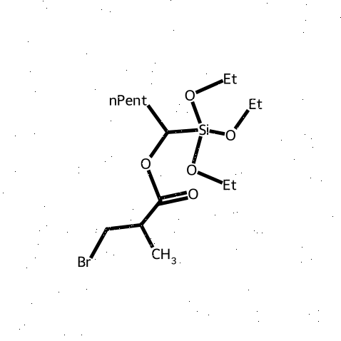 CCCCCC(OC(=O)C(C)CBr)[Si](OCC)(OCC)OCC